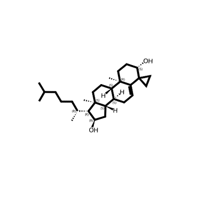 CC(C)CCC[C@@H](C)[C@H]1[C@H](O)C[C@H]2[C@@H]3CC=C4C5(CC5)[C@@H](O)CC[C@]4(C)[C@H]3CC[C@]12C